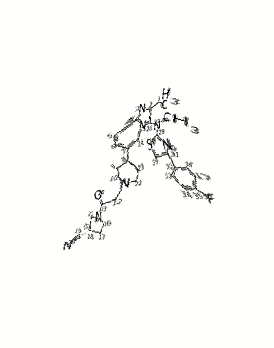 CCc1nc2ccc(C3CCN(CC(=O)N4CC[C@H](C#N)C4)CC3)cn2c1N(C)c1nc(-c2ccc(F)cc2)cs1